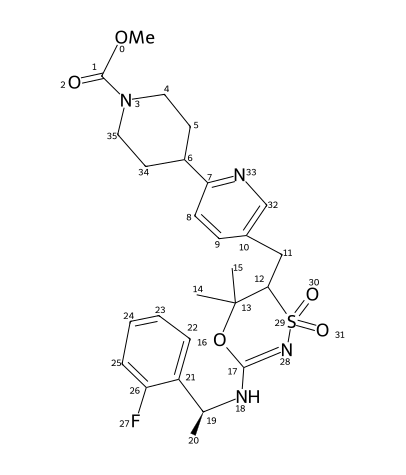 COC(=O)N1CCC(c2ccc(CC3C(C)(C)OC(N[C@@H](C)c4ccccc4F)=NS3(=O)=O)cn2)CC1